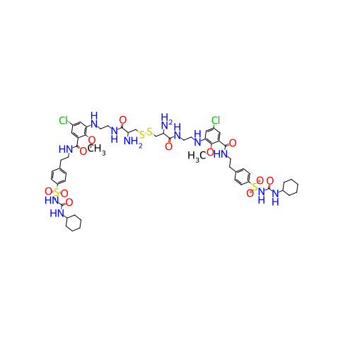 COc1c(NCCNC(=O)C(N)CSSCC(N)C(=O)NCCNc2cc(Cl)cc(C(=O)NCCc3ccc(S(=O)(=O)NC(=O)NC4CCCCC4)cc3)c2OC)cc(Cl)cc1C(=O)NCCc1ccc(S(=O)(=O)NC(=O)NC2CCCCC2)cc1